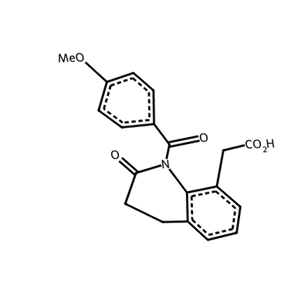 COc1ccc(C(=O)N2C(=O)CCc3cccc(CC(=O)O)c32)cc1